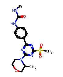 CC(C)NC(=O)Nc1ccc(-c2nc(N3CCOCC3C)nc(S(C)(=O)=O)n2)cc1